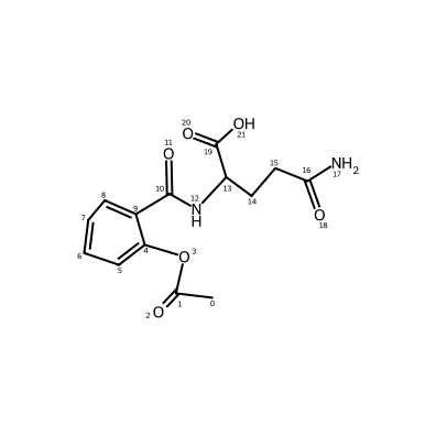 CC(=O)Oc1ccccc1C(=O)NC(CCC(N)=O)C(=O)O